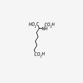 O=C(O)CCCCCC(NC(=O)O)C(=O)O